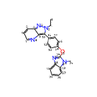 CCn1nc2cccnc2c1-c1ccc(Oc2nc3ccccc3n2C)cc1